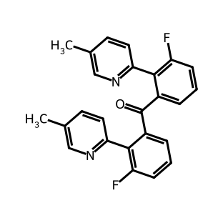 Cc1ccc(-c2c(F)cccc2C(=O)c2cccc(F)c2-c2ccc(C)cn2)nc1